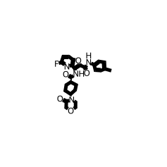 Cc1ccc(NC(=O)c2oc3ccc(F)nc3c2NC(=O)[C@H]2CC[C@H](N3CCOCC3=O)CC2)cc1